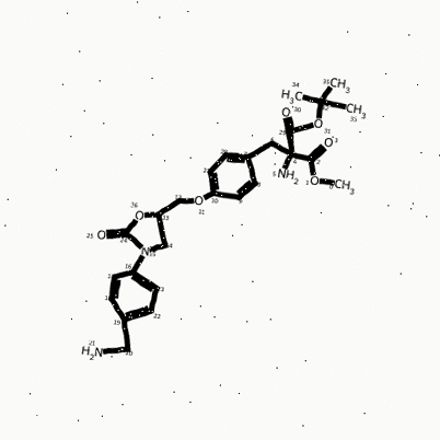 COC(=O)C(N)(Cc1ccc(OCC2CN(c3ccc(CN)cc3)C(=O)O2)cc1)C(=O)OC(C)(C)C